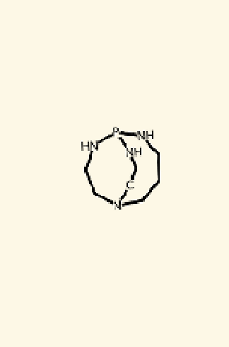 C1CNP2NCCN(C1)CCN2